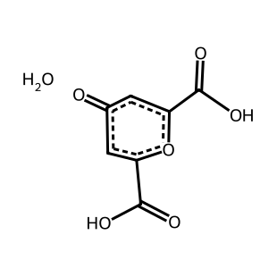 O.O=C(O)c1cc(=O)cc(C(=O)O)o1